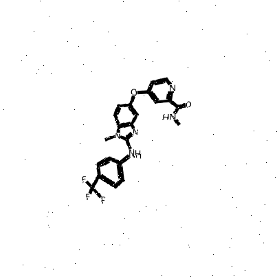 CNC(=O)c1cc(Oc2ccc3c(c2)nc(Nc2ccc(C(F)(F)F)cc2)n3C)ccn1